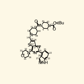 CC(C)(C)OC(=O)N1CCN(C(=O)C2CCN(Cc3cc4nc(-c5cccc6[nH]ncc56)nc(N5CCOCC5)c4s3)CC2)CC1